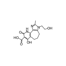 Cc1nc2c(n1CCO)CCCc1c-2[nH]c(=O)c(C(=O)O)c1O